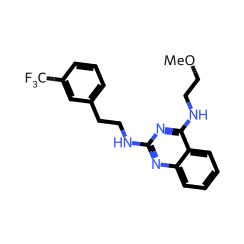 COCCNc1nc(NCCc2cccc(C(F)(F)F)c2)nc2ccccc12